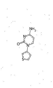 Nc1ccn(-c2ccsc2)c(=O)n1